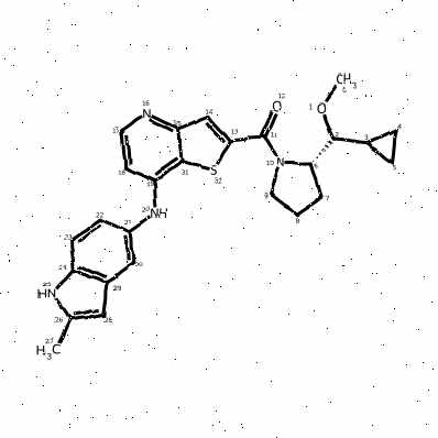 COC(C1CC1)[C@@H]1CCCN1C(=O)c1cc2nccc(Nc3ccc4[nH]c(C)cc4c3)c2s1